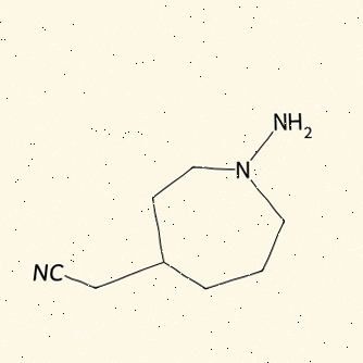 N#CCC1CCCN(N)CC1